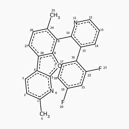 Cc1ccc2c(n1)oc1c(-c3ncccc3-c3ccc(F)cc3F)c(C)ccc12